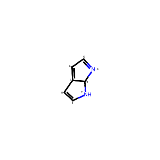 [C]1=CNC2N=CC=C12